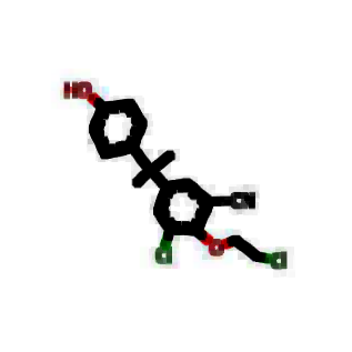 CC(C)(c1ccc(O)cc1)c1cc(Cl)c(OCCCl)c(C#N)c1